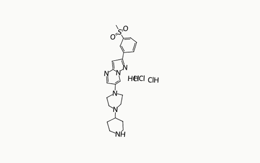 CS(=O)(=O)c1cccc(-c2cc3ncc(N4CCN(C5CCNCC5)CC4)cn3n2)c1.Cl.Cl.Cl